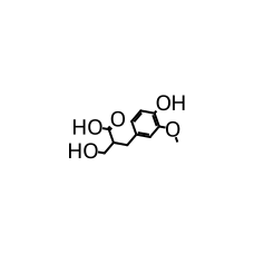 COc1cc(CC(CO)C(=O)O)ccc1O